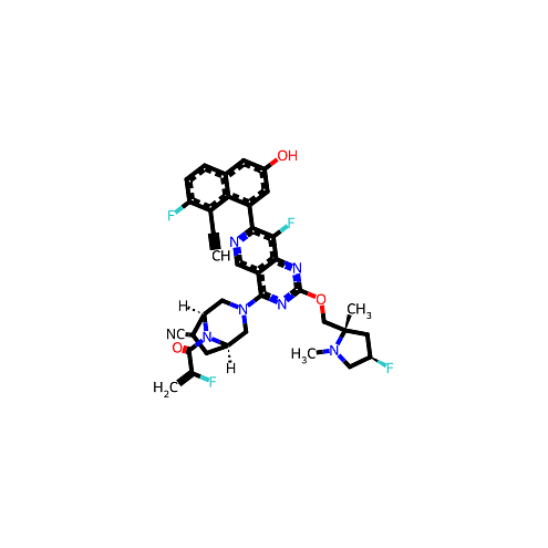 C#Cc1c(F)ccc2cc(O)cc(-c3ncc4c(N5C[C@H]6CC(C#N)[C@@H](C5)N6C(=O)C(=C)F)nc(OC[C@]5(C)C[C@@H](F)CN5C)nc4c3F)c12